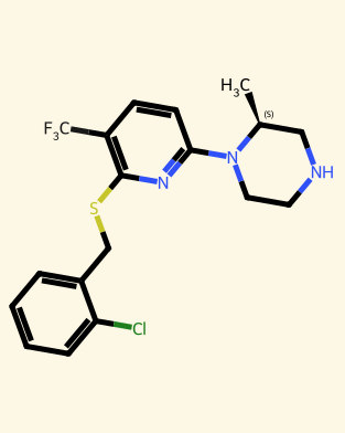 C[C@H]1CNCCN1c1ccc(C(F)(F)F)c(SCc2ccccc2Cl)n1